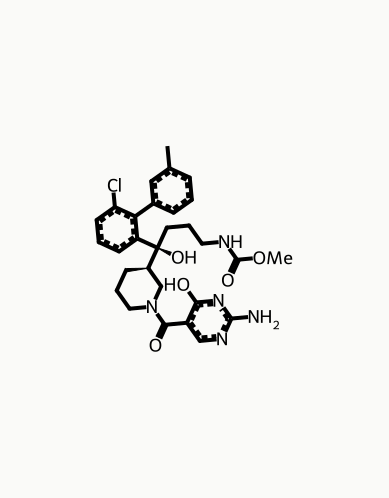 COC(=O)NCCC[C@@](O)(c1cccc(Cl)c1-c1cccc(C)c1)[C@@H]1CCCN(C(=O)c2cnc(N)nc2O)C1